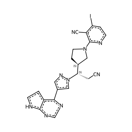 N#CC[C@@H]([C@H]1CCN(c2nccc(I)c2C#N)C1)n1cc(-c2ncnc3[nH]ccc23)cn1